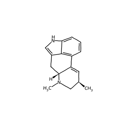 C[C@@H]1C=C2c3cccc4[nH]cc(c34)C[C@H]2N(C)C1